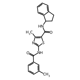 Cc1cccc(C(=O)Nc2nc(C)c(C(=O)NC3CCc4ccccc43)s2)c1